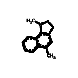 Cc1cc2c(c3ccccc13)N(C)CC2